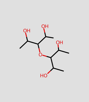 CC(O)C(OC(C(C)O)C(C)O)C(C)O